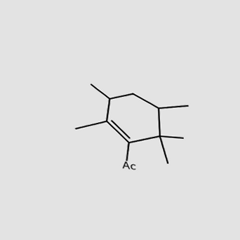 CC(=O)C1=C(C)C(C)CC(C)C1(C)C